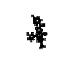 CC(C)c1nn(CC(=O)Nc2ccc(I)nn2)c(=O)c2cc(C3CC3)nn12